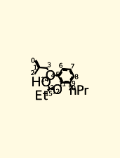 C=C(C)COc1cccc(CCC)c1OC(O)CC